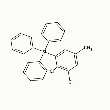 Cc1cc(Cl)c(Cl)c([Si](c2ccccc2)(c2ccccc2)c2ccccc2)c1